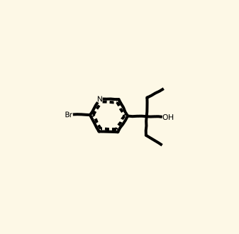 CCC(O)(CC)c1ccc(Br)nc1